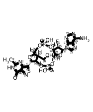 Cc1nc2c([C@@H]3O[C@@H]4COP(=O)(O)O[C@H]5[C@@H](F)[C@H](n6cnc7c(N)ncnc76)O[C@@H]5COP(=O)(O)O[C@@H]3[C@@H]4CO)snc2c(=O)[nH]1